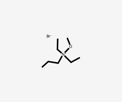 CCC[N+](CC)(CC)OC.[Br-]